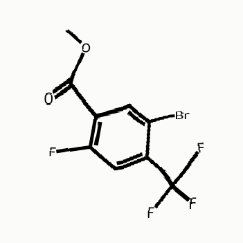 COC(=O)c1cc(Br)c(C(F)(F)F)cc1F